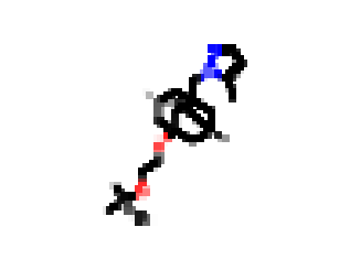 Cc1ccnn1CC12CC3(OCCO[Si](C)(C)C(C)(C)C)C[C@](C)(C1)C[C@](C)(C2)C3